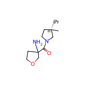 CC(C)[C@@]1(C)CCN(C(=O)C2(N)CCOC2)C1